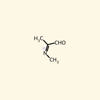 C/N=C(/C)C=O